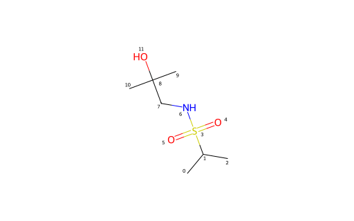 CC(C)S(=O)(=O)NCC(C)(C)O